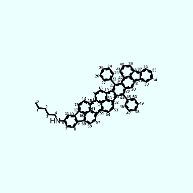 CCCCCNc1ccc2c(c1)-c1ccc3c4ccc5c6c(-c7ccccc7)c7c(cc8c9ccccc9c9cccc7c98)c(-c7ccccc7)c6c6ccc(c7ccc-2c1c73)c4c65